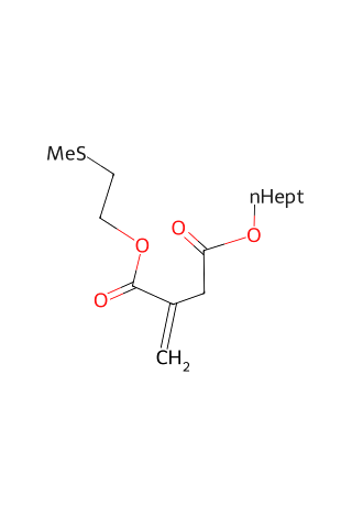 C=C(CC(=O)OCCCCCCC)C(=O)OCCSC